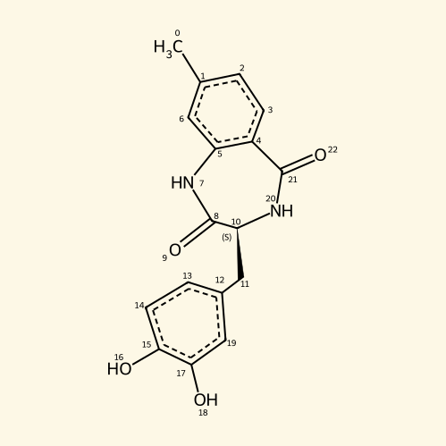 Cc1ccc2c(c1)NC(=O)[C@H](Cc1ccc(O)c(O)c1)NC2=O